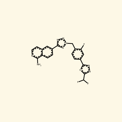 Nc1nccc2cc(-c3nnn(Cc4ccc(-c5nnc(C(F)F)o5)cc4F)n3)ccc12